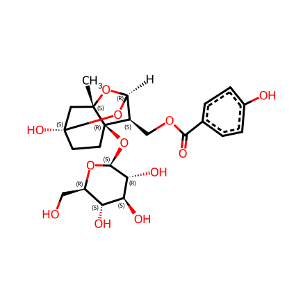 C[C@]12C[C@]3(O)CC[C@@]1(O[C@@H]1O[C@H](CO)[C@@H](O)[C@H](O)[C@H]1O)[C@H](COC(=O)c1ccc(O)cc1)[C@@H](O3)O2